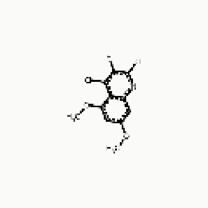 COc1cc(OC)c2c(Cl)c(F)c(Cl)nc2c1